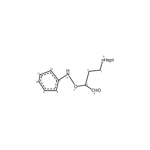 CCCCCCCCCC(C=O)ONc1ccccc1